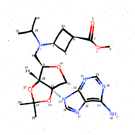 COC(=O)[C@H]1C[C@@H](N(C[C@H]2OC[C@@]3(n4cnc5c(N)ncnc54)OC(C)(C)O[C@H]23)C(C)C)C1